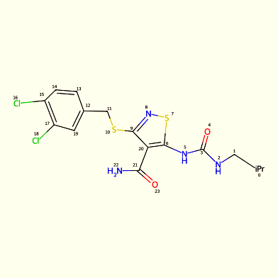 CC(C)CNC(=O)Nc1snc(SCc2ccc(Cl)c(Cl)c2)c1C(N)=O